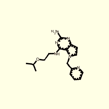 CC(C)OCCNc1nc(N)nc2ccn(Cc3ccccn3)c12